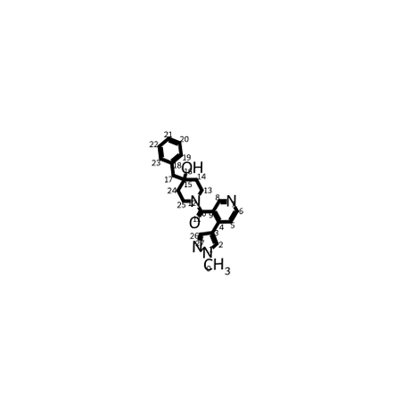 Cn1cc(-c2ccncc2C(=O)N2CCC(O)(Cc3ccccc3)CC2)cn1